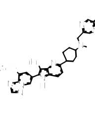 COc1cc(-c2[nH]c3ccc(C4CCC(N(C)Cc5cnc(C)cn5)CC4)nc3c2C(C)C)cn2ncnc12